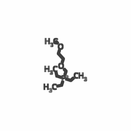 CC[P+](CC)(CC)COCCOC